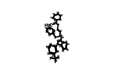 CN(CCCN(Cc1cccnc1)Cc1cn(-c2cccc(C(F)(F)F)c2)c2ccccc12)C1CCCCC1